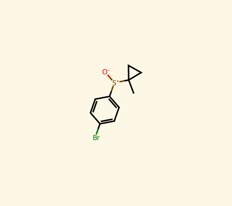 CC1([S+]([O-])c2ccc(Br)cc2)CC1